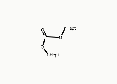 CCCCCCCO[PH](=O)OCCCCCCC